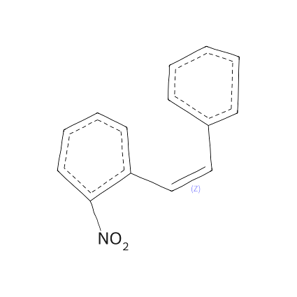 O=[N+]([O-])c1ccccc1/C=C\c1ccccc1